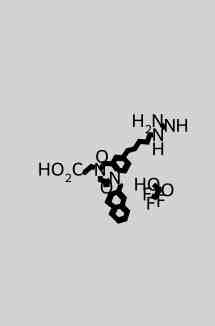 N=C(N)NCCCCCc1ccc2c(c1)C(=O)N(CCC(=O)O)CC(=O)N2Cc1ccc2ccccc2c1.O=C(O)C(F)(F)F